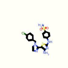 Nc1nc(Nc2ccc(S(N)(=O)=O)cc2)sc1-c1nccn1Cc1ccc(Cl)cc1